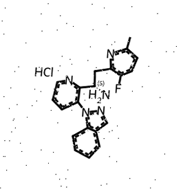 Cc1ccc(F)c(C[C@H](N)c2ncccc2-n2ncc3ccccc32)n1.Cl